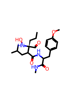 CCC[C@](C=O)(NO)C(CC(C)C)C(=O)NC(Cc1ccc(OC)cc1)C(=O)NC